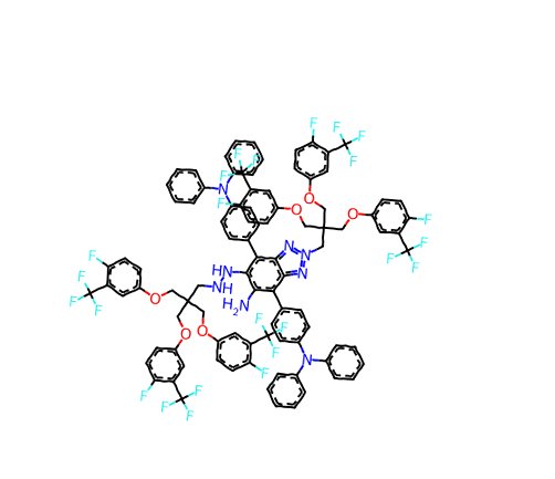 Nc1c(NNCC(COc2ccc(F)c(C(F)(F)F)c2)(COc2ccc(F)c(C(F)(F)F)c2)COc2ccc(F)c(C(F)(F)F)c2)c(-c2ccc(N(c3ccccc3)c3ccccc3)cc2)c2nn(CC(COc3ccc(F)c(C(F)(F)F)c3)(COc3ccc(F)c(C(F)(F)F)c3)COc3ccc(F)c(C(F)(F)F)c3)nc2c1-c1ccc(N(c2ccccc2)c2ccccc2)cc1